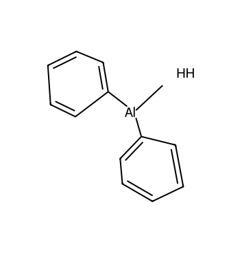 [CH3][Al]([c]1ccccc1)[c]1ccccc1.[HH]